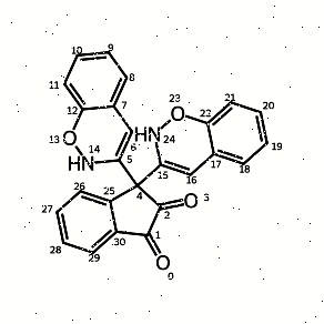 O=C1C(=O)C(C2=Cc3ccccc3ON2)(C2=Cc3ccccc3ON2)c2ccccc21